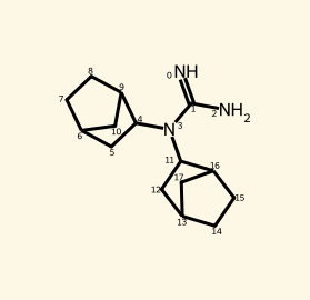 N=C(N)N(C1CC2CCC1C2)C1CC2CCC1C2